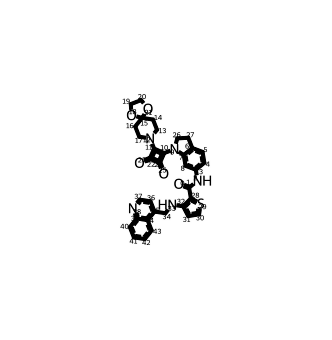 O=C(Nc1ccc2c(c1)N(c1c(N3CCC4(CC3)OCCO4)c(=O)c1=O)CC2)c1sccc1NCc1ccnc2ccccc12